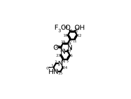 C[C@H]1CN(c2ccc3nc(-c4ccc(O)c(OC(F)(F)F)c4)cc(=O)n3c2)CCN1